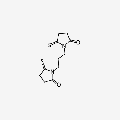 O=C1CCC(=S)N1CCCN1C(=O)CCC1=S